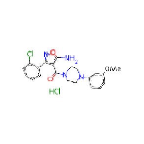 COc1cccc(N2CCN(C(=O)c3c(-c4ccccc4Cl)noc3N)CC2)c1.Cl